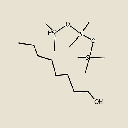 CCCCCCCCO.C[SiH](C)O[Si](C)(C)O[Si](C)(C)C